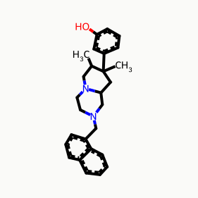 CC1CN2CCN(Cc3cccc4ccccc34)CC2CC1(C)c1cccc(O)c1